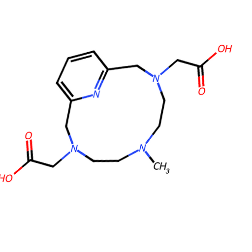 CN1CCN(CC(=O)O)Cc2cccc(n2)CN(CC(=O)O)CC1